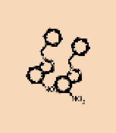 O=[N+]([O-])c1cccc2c1cnn2Cc1ccccc1.O=[N+]([O-])c1cccc2c1cnn2Cc1ccccc1